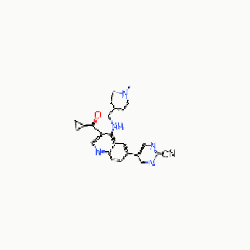 CN1CCC(CNc2c(C(=O)C3CC3)cnc3ccc(-c4cnc(C#N)nc4)cc23)CC1